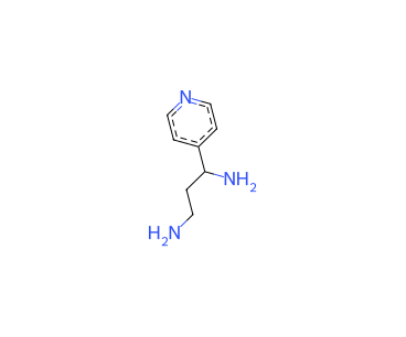 NCCC(N)c1ccncc1